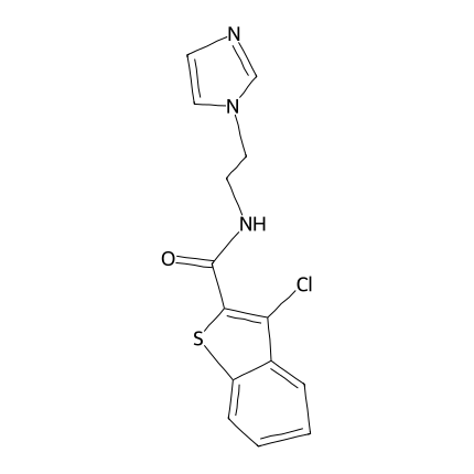 O=C(NCCn1ccnc1)c1sc2ccccc2c1Cl